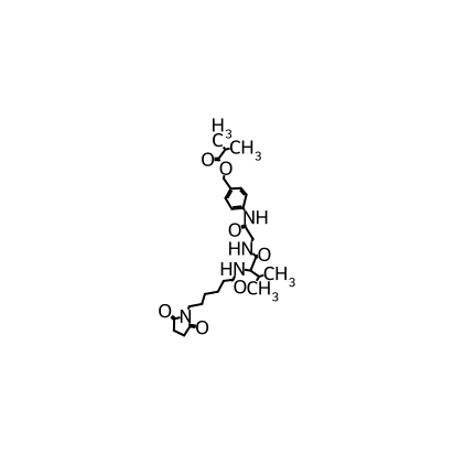 CC(C)C(=O)OCc1ccc(NC(=O)CNC(=O)C(NC(=O)CCCCCN2C(=O)CCC2=O)C(C)C)cc1